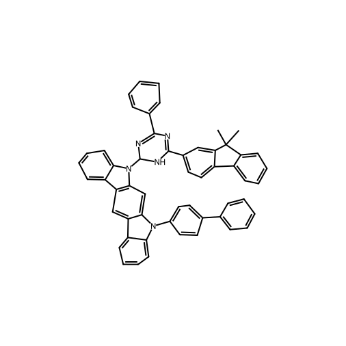 CC1(C)c2ccccc2-c2ccc(C3=NC(c4ccccc4)=NC(n4c5ccccc5c5cc6c7ccccc7n(-c7ccc(-c8ccccc8)cc7)c6cc54)N3)cc21